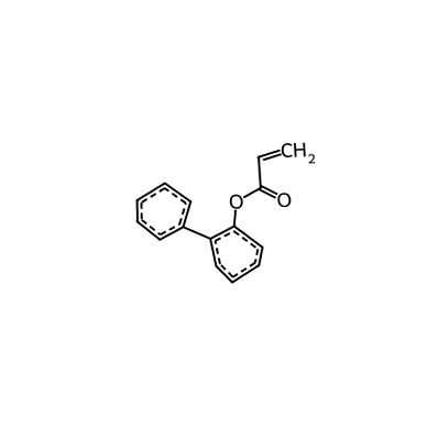 C=CC(=O)Oc1ccccc1-c1ccccc1